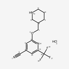 Cl.N#Cc1cc(OCC2CCCNC2)nc(C(F)(F)F)c1